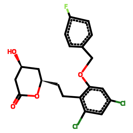 O=C1C[C@@H](O)C[C@H](CCc2c(Cl)cc(Cl)cc2OCc2ccc(F)cc2)O1